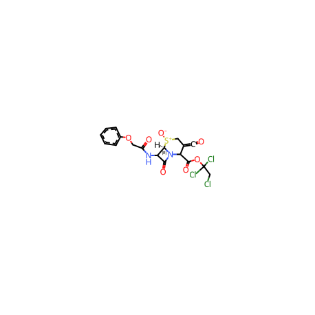 O=C=C1C[S+]([O-])[C@@H]2C(NC(=O)COc3ccccc3)C(=O)N2C1C(=O)OC(Cl)(Cl)CCl